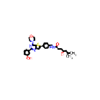 CC(C)=CC(=O)CCC(=O)NCc1ccc(-c2cc3nc(-c4cccc(O)c4)nc(N4CCOCC4)c3s2)cc1